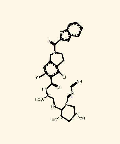 N=C/N=C/N1C[C@H](O)C[C@H](O)C1NC[C@H](NC(=O)c1c(Cl)cc2c(c1Cl)CCN(C(=O)c1cc3ccccc3o1)C2)C(=O)O